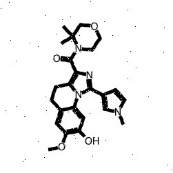 COc1cc2c(cc1O)-n1c(-c3ccn(C)c3)nc(C(=O)N3CCOCC3(C)C)c1CC2